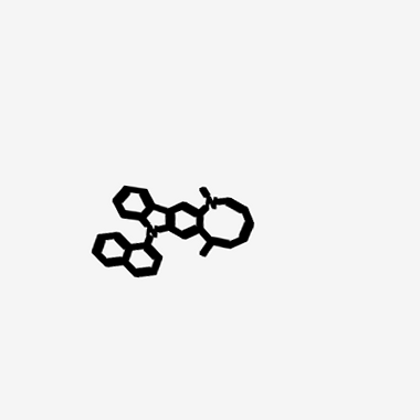 Cc1cccccn(C)c2cc3c4ccccc4n(-c4cccc5ccccc45)c3cc12